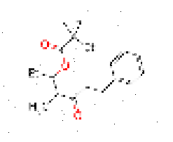 CCC(OC(=O)C1(CC)CC1)C(C)C(=O)CCc1ccccc1